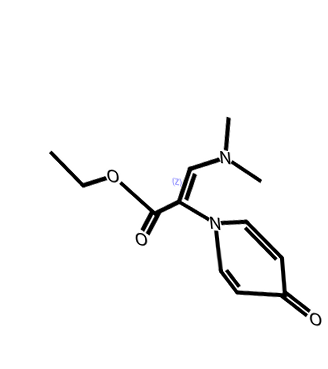 CCOC(=O)/C(=C/N(C)C)n1ccc(=O)cc1